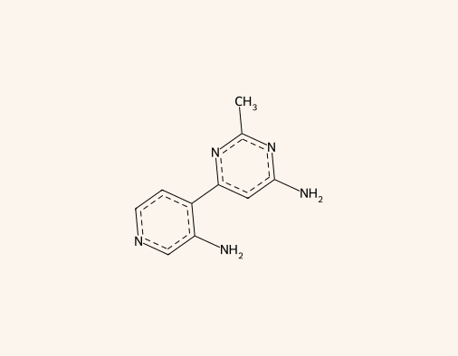 Cc1nc(N)cc(-c2ccncc2N)n1